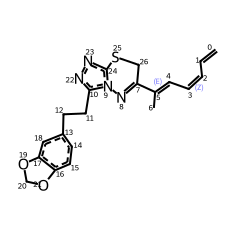 C=C/C=C\C=C(/C)C1=Nn2c(CCc3ccc4c(c3)OCO4)nnc2SC1